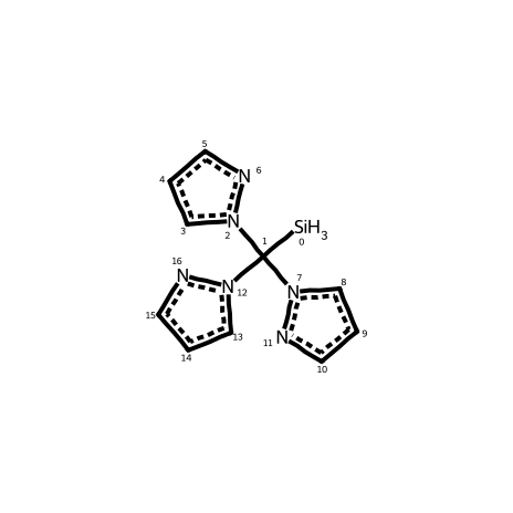 [SiH3]C(n1cccn1)(n1cccn1)n1cccn1